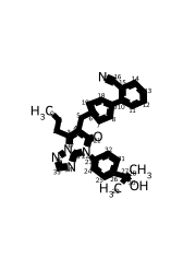 CCCc1c(Cc2ccc(-c3ccccc3C#N)cc2)c(=O)n(-c2ccc(C(C)(C)O)cc2)c2ncnn12